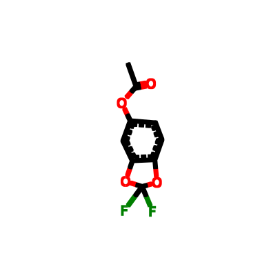 CC(=O)Oc1ccc2c(c1)OC(F)(F)O2